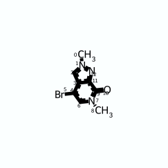 Cn1cc2c(Br)cn(C)c(=O)c2n1